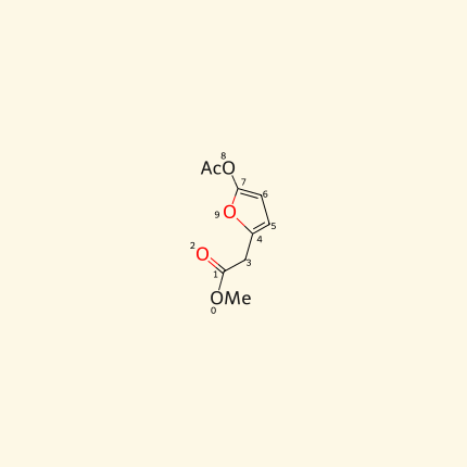 COC(=O)Cc1ccc(OC(C)=O)o1